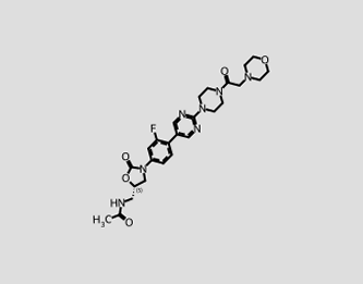 CC(=O)NC[C@H]1CN(c2ccc(-c3cnc(N4CCN(C(=O)CN5CCOCC5)CC4)nc3)c(F)c2)C(=O)O1